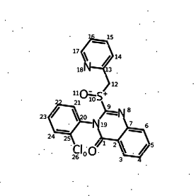 O=c1c2ccccc2nc([S+]([O-])Cc2ccccn2)n1-c1ccccc1Cl